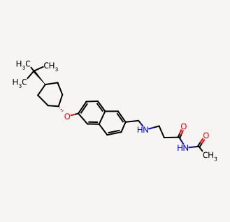 CC(=O)NC(=O)CCNCc1ccc2cc(O[C@H]3CC[C@H](C(C)(C)C)CC3)ccc2c1